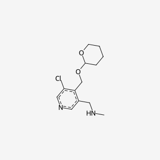 CNCc1cncc(Cl)c1COC1CCCCO1